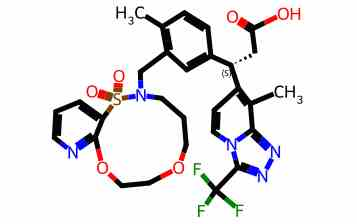 Cc1ccc([C@H](CC(=O)O)c2ccn3c(C(F)(F)F)nnc3c2C)cc1CN1CCCOCCOc2ncccc2S1(=O)=O